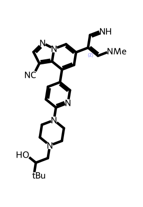 CN/C=C(\C=N)c1cc(-c2ccc(N3CCN(CC(O)C(C)(C)C)CC3)nc2)c2c(C#N)cnn2c1